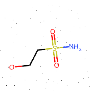 NS(=O)(=O)CC[O]